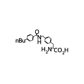 CCCCc1ccc(C(=O)NCc2ccc(C[C@H](N)C(=O)O)cc2)cc1